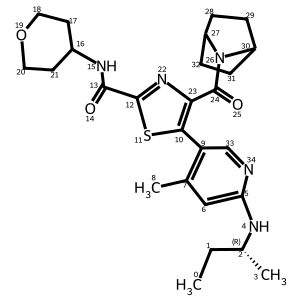 CC[C@@H](C)Nc1cc(C)c(-c2sc(C(=O)NC3CCOCC3)nc2C(=O)N2C3CCC2CC3)cn1